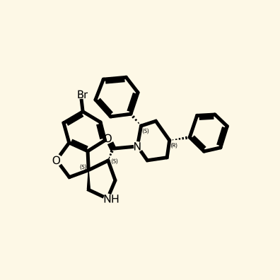 O=C([C@@H]1CNC[C@]12COc1cc(Br)ccc12)N1CC[C@@H](c2ccccc2)C[C@H]1c1ccccc1